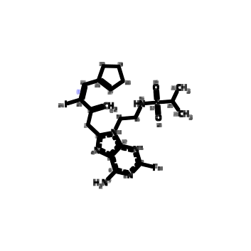 C=C(Cc1nc2c(N)nc(F)nc2n1CCNS(=O)(=O)C(C)C)/C(I)=C\C1=CCCC1